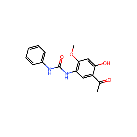 COc1cc(O)c(C(C)=O)cc1NC(=O)Nc1ccccc1